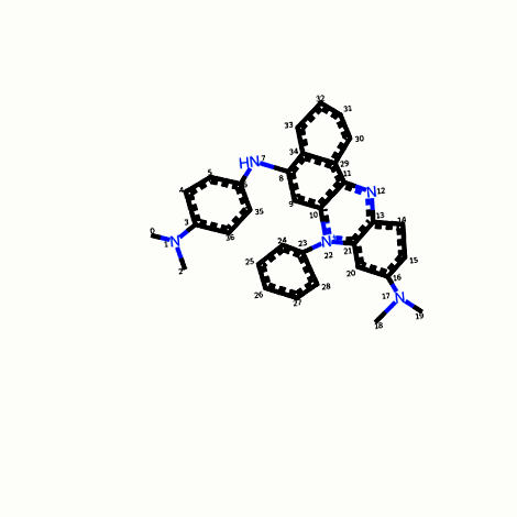 CN(C)c1ccc(Nc2cc3c(nc4ccc(N(C)C)cc4[n+]3-c3ccccc3)c3ccccc23)cc1